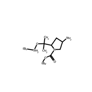 CC(C)(C)OC(=O)N1CC(N)CC1C(C)(C)O[SiH2]C(C)(C)C